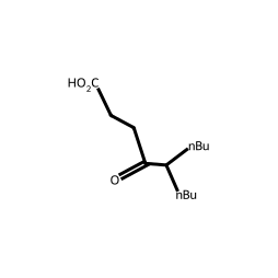 CCCCC(CCCC)C(=O)CCC(=O)O